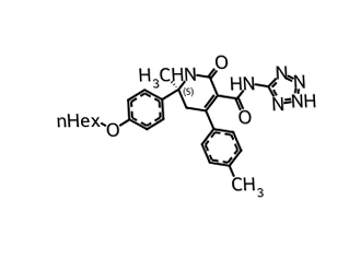 CCCCCCOc1ccc([C@]2(C)CC(c3ccc(C)cc3)=C(C(=O)Nc3nn[nH]n3)C(=O)N2)cc1